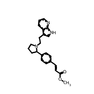 COC(=O)/C=C/c1ccc(C2CCCN2CCc2c[nH]c3ncccc23)cc1